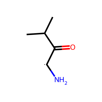 CC(C)C(=O)[CH]N